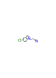 N#CCCn1ccc2cc(Cl)ccc21